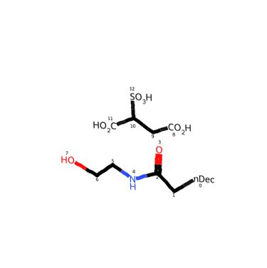 CCCCCCCCCCCC(=O)NCCO.O=C(O)CC(C(=O)O)S(=O)(=O)O